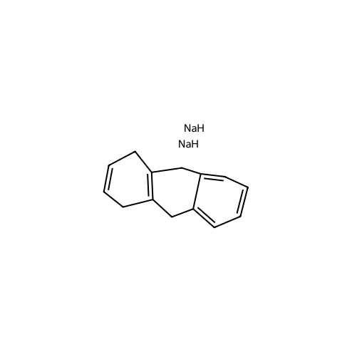 C1=CCC2=C(C1)Cc1ccccc1C2.[NaH].[NaH]